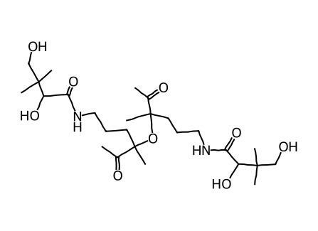 CC(=O)C(C)(CCCNC(=O)C(O)C(C)(C)CO)OC(C)(CCCNC(=O)C(O)C(C)(C)CO)C(C)=O